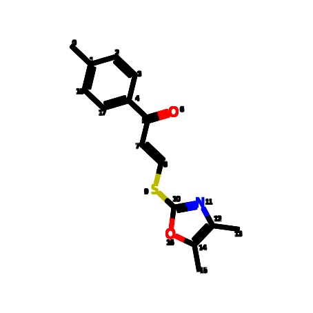 Cc1ccc(C(=O)/C=C/Sc2nc(C)c(C)o2)cc1